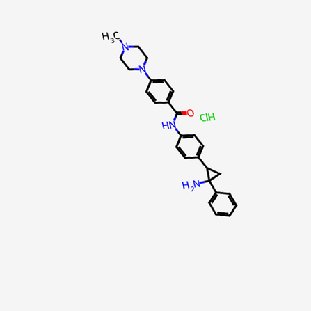 CN1CCN(c2ccc(C(=O)Nc3ccc(C4CC4(N)c4ccccc4)cc3)cc2)CC1.Cl